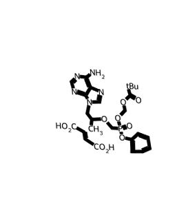 CC(Cn1cnc2c(N)ncnc21)OCP(=O)(OCOC(=O)C(C)(C)C)Oc1ccccc1.O=C(O)/C=C/C(=O)O